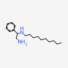 CCCCCCCCCCNC(CN)c1ccccc1